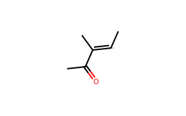 C/[C]=C(\C)C(C)=O